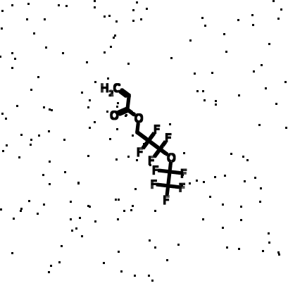 C=CC(=O)OCC(F)(F)C(F)(F)OC(F)(F)C(F)(F)F